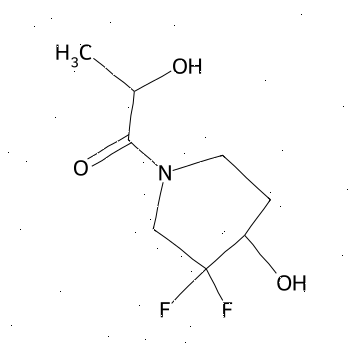 CC(O)C(=O)N1CCC(O)C(F)(F)C1